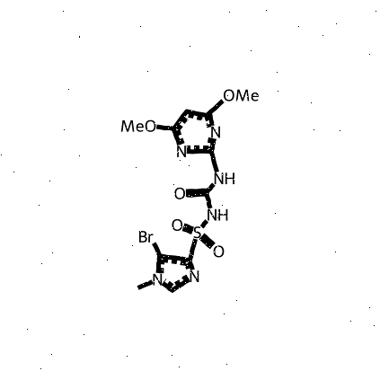 COc1cc(OC)nc(NC(=O)NS(=O)(=O)c2ncn(C)c2Br)n1